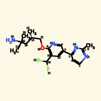 Cc1nccc(-c2cnc(OC[C@@H](C)CC(C)(C)N)c(C(F)F)c2)n1